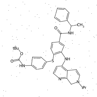 CC(NC(=O)c1ccc(Sc2ccc(NC(=O)OC(C)(C)C)cc2)c(Nc2ccnc3c2C=CN(C(C)C)C3)c1)c1ccccc1